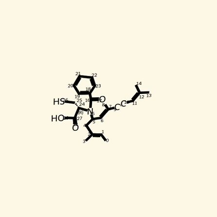 CC=C(C)CC(C=C(C)CCC=C(C)C)N(C(=O)c1ccccc1)[C@@H](CS)C(=O)O